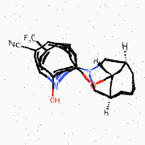 N#Cc1ccc(N2C[C@H]3CC[C@@H](C2)[C@@H]3Oc2ccc(C(F)(F)F)cc2O)nc1